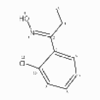 CCC(=NO)c1ccccc1Cl